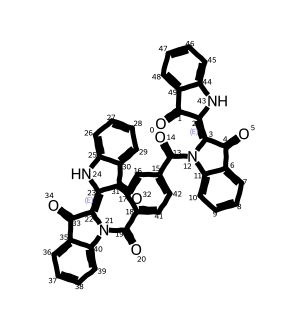 O=C1/C(=C2/C(=O)c3ccccc3N2C(=O)c2ccc(C(=O)N3/C(=C4/Nc5ccccc5C4=O)C(=O)c4ccccc43)cc2)Nc2ccccc21